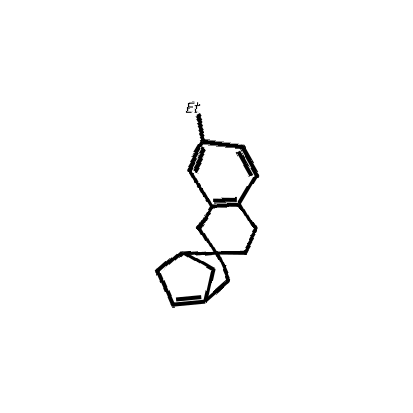 CCc1ccc2c(c1)CC1(CC2)CC2=CCC1C2